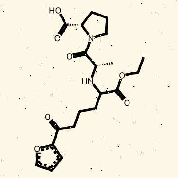 CCOC(=O)C(CCCC(=O)c1ccco1)N[C@@H](C)C(=O)N1CCC[C@H]1C(=O)O